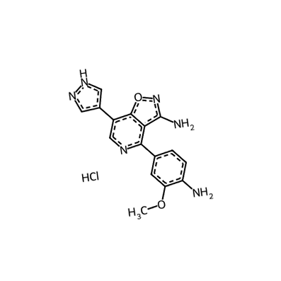 COc1cc(-c2ncc(-c3cn[nH]c3)c3onc(N)c23)ccc1N.Cl